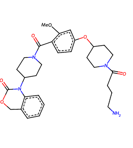 COc1cc(OC2CCN(C(=O)CCCN)CC2)ccc1C(=O)N1CCC(N2C(=O)OCc3ccccc32)CC1